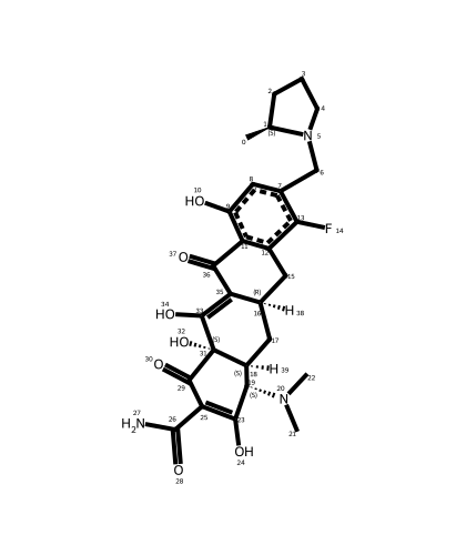 C[C@H]1CCCN1Cc1cc(O)c2c(c1F)C[C@H]1C[C@H]3[C@H](N(C)C)C(O)=C(C(N)=O)C(=O)[C@@]3(O)C(O)=C1C2=O